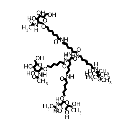 COC(C)(C)C(C)(C)NC(=O)CCCCCNC(=O)C(CCCCNC(=O)CCCCCOC1OC(CO)C(O)C(O)C1NC(C)=O)NC(=O)C(CCCCNC(=O)CCCCCOC(OC(CO)[C@@H](C)O)[C@H](CO)NC(C)=O)NC(=O)CCCCCOC1OC(CO)C(O)C(O)C1NC(C)=O